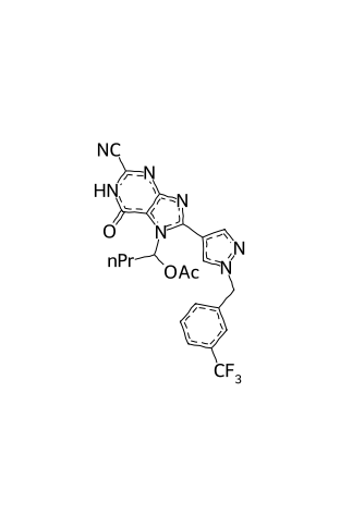 CCCC(OC(C)=O)n1c(-c2cnn(Cc3cccc(C(F)(F)F)c3)c2)nc2nc(C#N)[nH]c(=O)c21